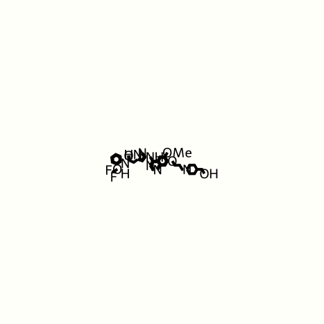 COc1cc2c(Nc3cc(CC(=O)Nc4ccccc4OC(F)F)[nH]n3)ncnc2cc1OCCCN1CCC(CO)CC1